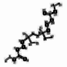 CCOC(=O)OOOC(C)(CC)CCC(C)(CC)OOOC(=O)OCC